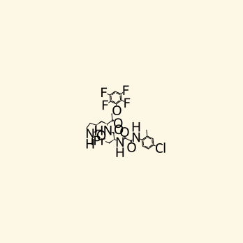 Cc1cc(Cl)ccc1NC(=O)C(=O)N[C@@H](CC(C)C)C(=O)N[C@@H](C[C@@H]1CCNC1=O)C(=O)COc1c(F)c(F)cc(F)c1F